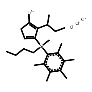 CCCC[Si](C)(C1=CC[C]([Ti+3])=C1C(C)CC)c1c(C)c(C)c(C)c(C)c1C.[Cl-].[Cl-].[Cl-]